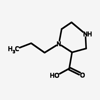 CCCN1CCNCC1C(=O)O